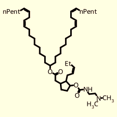 CC/C=C\CC1C(CC(=O)OC(CCCCCCCC/C=C\C/C=C\CCCCC)CCCCCCCC/C=C\C/C=C\CCCCC)CCC1OC(=O)NCCN(C)C